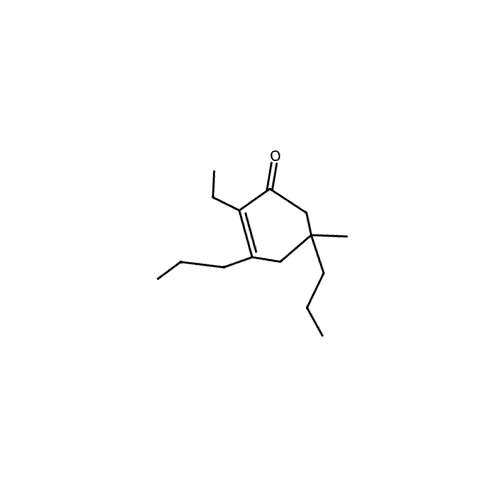 CCCC1=C(CC)C(=O)CC(C)(CCC)C1